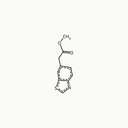 COC(=O)Cc1ccc2ncsc2c1